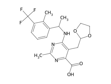 Cc1nc(NC(C)c2cccc(C(F)(F)F)c2C)c(CC2OCCO2)c(C(=O)O)n1